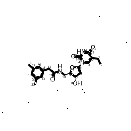 CCc1cn([C@H]2C[C@H](O)[C@@H](CNC(=O)Cc3cc(C)cc(C)c3)O2)c(=O)[nH]c1=O